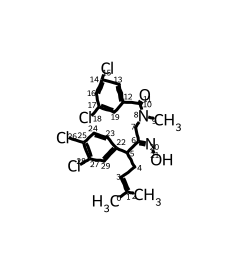 CC(C)=CCC(C(CN(C)C(=O)c1cc(Cl)cc(Cl)c1)=NO)c1ccc(Cl)c(Cl)c1